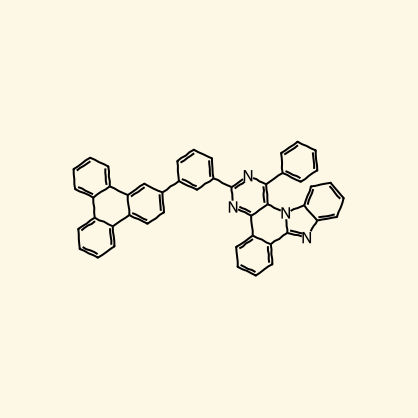 c1ccc(-c2nc(-c3cccc(-c4ccc5c6ccccc6c6ccccc6c5c4)c3)nc3c4ccccc4c4nc5ccccc5n4c23)cc1